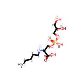 CCCCCNC(COP(=O)(O)OCC(O)CO)C(=O)O